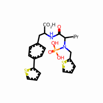 CC(C)C(C(=O)NC(Cc1ccc(-c2cccs2)cc1)C(=O)O)N(Cc1cccs1)P(=O)(O)O